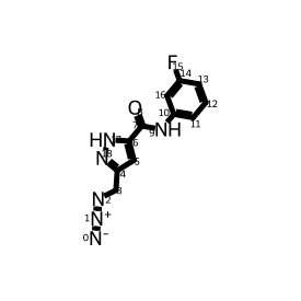 [N-]=[N+]=NCc1cc(C(=O)Nc2cccc(F)c2)[nH]n1